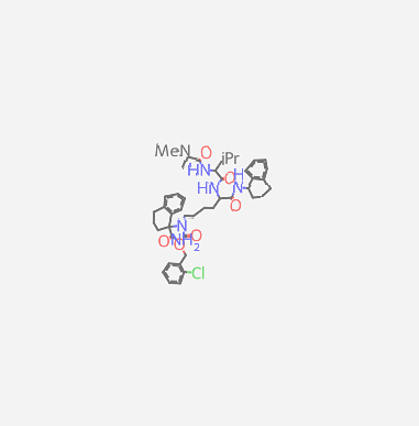 CNC(C)C(=O)NC(C(=O)NC(CCCCN(C(=O)OCc1ccccc1Cl)C1(C(N)=O)CCCc2ccccc21)C(=O)NC1CCCc2ccccc21)C(C)C